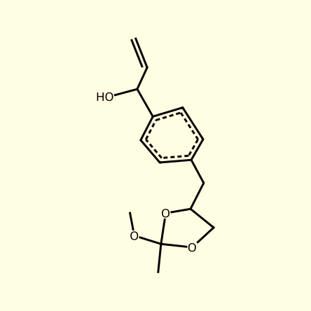 C=CC(O)c1ccc(CC2COC(C)(OC)O2)cc1